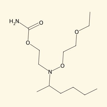 CCCCC(C)N(CCOC(N)=O)OCCOCC